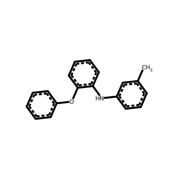 Cc1cccc(Nc2ccccc2Oc2ccccc2)c1